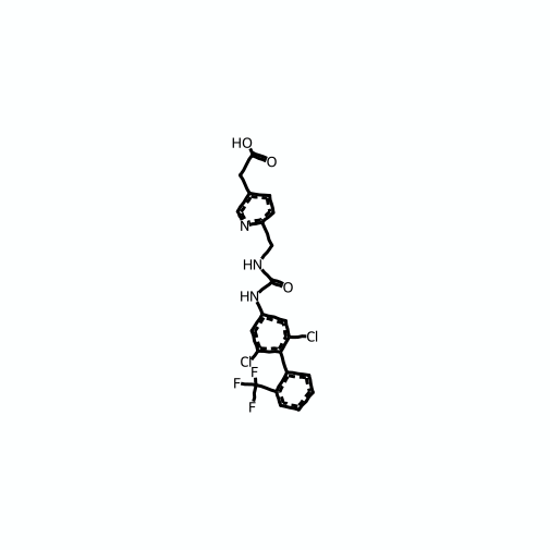 O=C(O)Cc1ccc(CNC(=O)Nc2cc(Cl)c(-c3ccccc3C(F)(F)F)c(Cl)c2)nc1